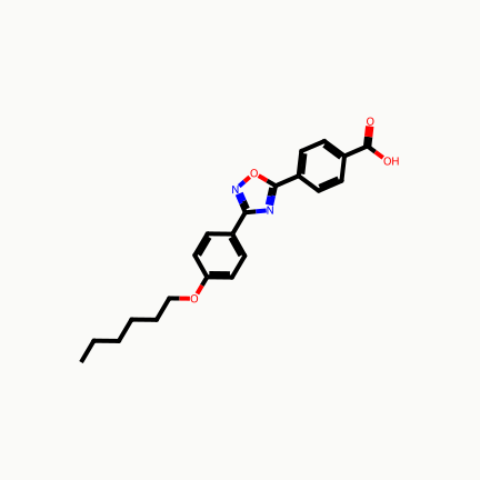 CCCCCCOc1ccc(-c2noc(-c3ccc(C(=O)O)cc3)n2)cc1